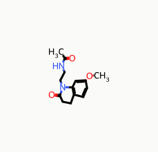 COc1ccc2c(c1)N(CCNC(C)=O)C(=O)CC2